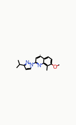 COc1ccc2[c]cc(-n3ccc(C(C)C)n3)nc2c1C